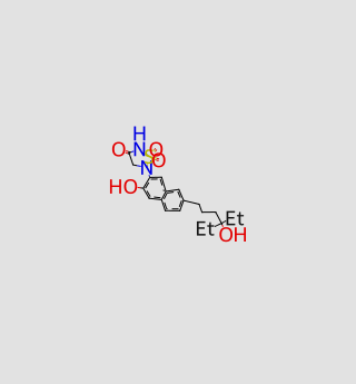 CCC(O)(CC)CCCc1ccc2cc(O)c(N3CC(=O)NS3(=O)=O)cc2c1